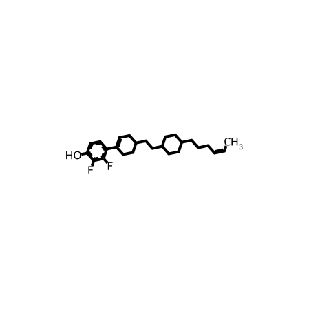 C/C=C\CCCC1CCC(CCC2CC=C(c3ccc(O)c(F)c3F)CC2)CC1